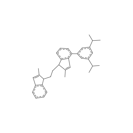 CC1=Cc2ccccc2C1CCC1C(C)=Cc2c(-c3cc(C(C)C)cc(C(C)C)c3)cccc21